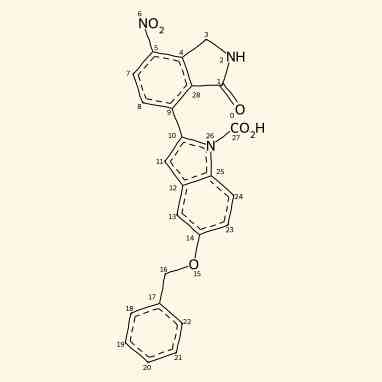 O=C1NCc2c([N+](=O)[O-])ccc(-c3cc4cc(OCc5ccccc5)ccc4n3C(=O)O)c21